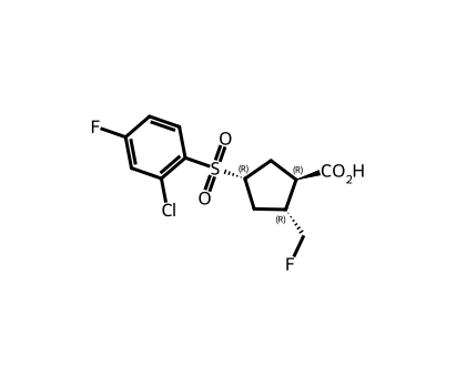 O=C(O)[C@@H]1C[C@@H](S(=O)(=O)c2ccc(F)cc2Cl)C[C@H]1CF